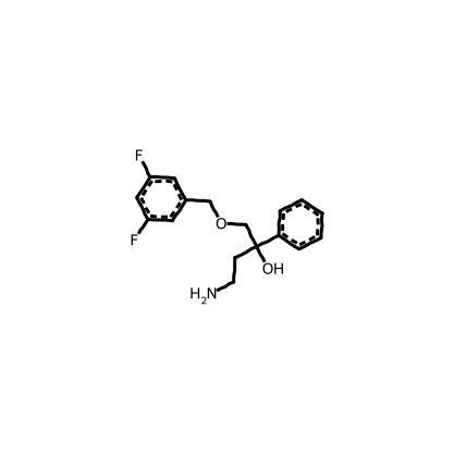 NCCC(O)(COCc1cc(F)cc(F)c1)c1ccccc1